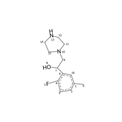 Cc1ccc(F)c(C(O)CN2CCNCC2)c1